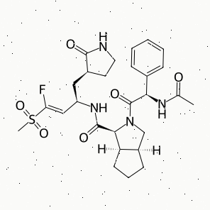 CC(=O)N[C@@H](C(=O)N1C[C@H]2CCC[C@H]2[C@H]1C(=O)N[C@@H](/C=C(\F)S(C)(=O)=O)C[C@@H]1CCNC1=O)c1ccccc1